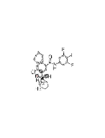 O=C(Nc1cc(F)c(F)c(F)c1)c1ccc(Cl)c(S(=O)(=O)[C@H]2C3CC[C@H]2C[C@]3(O)COCc2ccncc2)c1